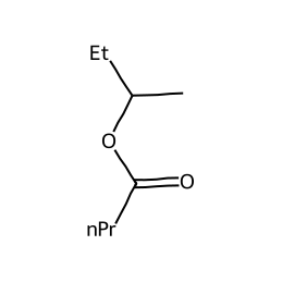 CCCC(=O)OC(C)CC